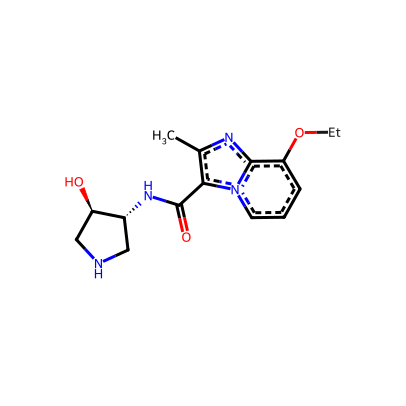 CCOc1cccn2c(C(=O)N[C@@H]3CNC[C@H]3O)c(C)nc12